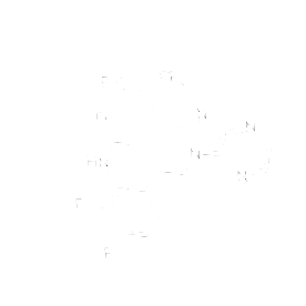 O=c1cc(Cn2c(CC(C(F)(F)F)C(F)(F)F)nc3nccnc32)c2ccc(F)c(F)c2[nH]1